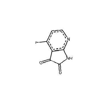 O=C1Nc2nccc(I)c2C1=O